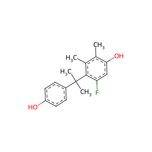 Cc1c(O)cc(F)c(C(C)(C)c2ccc(O)cc2)c1C